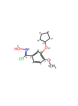 COc1ccc(C(Cl)=NO)cc1OC1CCCC1